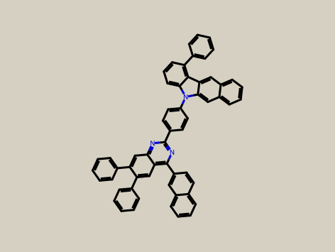 c1ccc(-c2cc3nc(-c4ccc(-n5c6cc7ccccc7cc6c6c(-c7ccccc7)cccc65)cc4)nc(-c4ccc5ccccc5c4)c3cc2-c2ccccc2)cc1